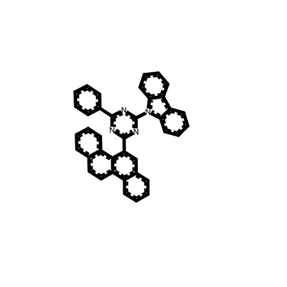 c1ccc(-c2nc(-c3cc4ccccc4c4ccc5ccccc5c34)nc(-n3c4ccccc4c4ccccc43)n2)cc1